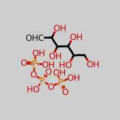 O=CC(O)C(O)C(O)C(O)CO.O=P(O)(O)OP(=O)(O)OP(=O)(O)O